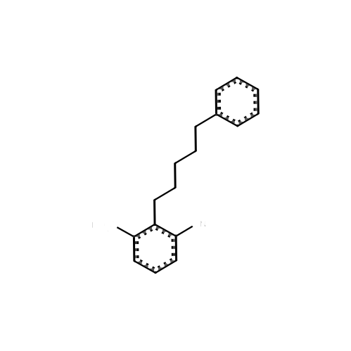 N#Cc1cccc(C(=O)O)c1CCCCCc1ccccc1